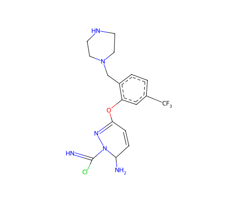 N=C(Cl)N1N=C(Oc2cc(C(F)(F)F)ccc2CN2CCNCC2)C=CC1N